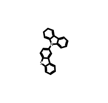 C1=c2c(n(-c3ccc4sc5ccccc5c4c3)c3ccccc23)=CCC1